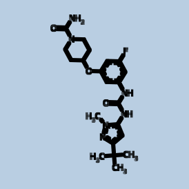 Cn1nc(C(C)(C)C)cc1NC(=O)Nc1cc(F)cc(OC2CCN(C(N)=O)CC2)c1